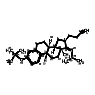 C#CCC[C@@H]1C[C@H]2[C@@H]3CCc4cc(O[Si](C)(C)C(C)(C)C)ccc4[C@H]3CC[C@]2(C)C1=NN(C)C